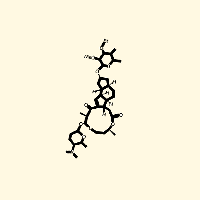 CCOC1C(C)C(C)OC(O[C@@H]2C[C@H]3CC[C@@H]4[C@@H](C=C5C(=O)[C@H](C)[C@@H](OC6CCC(N(C)C)C(C)O6)CCC[C@H](C)OC(=O)C[C@H]54)[C@@H]3C2)C1OC